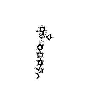 CCC(C)n1ncn(-c2ccc(N3CCN(c4ccc(OC[C@@H]5CO[C@@](Cn6nccn6)(c6ccccc6OC)O5)cc4)CC3)cc2)c1=O